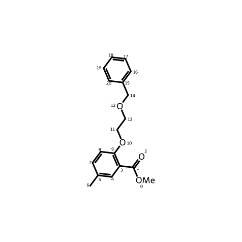 COC(=O)c1cc(C)ccc1OCCOCc1ccccc1